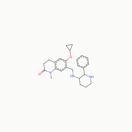 CN1C(=O)CCc2cc(OC3CC3)c(CNC3CCCNC3c3ccccc3)cc21